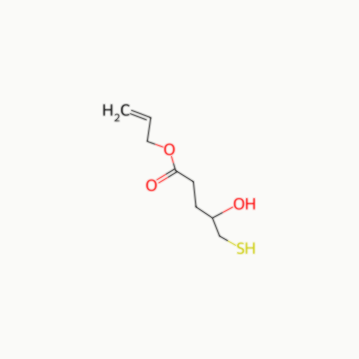 C=CCOC(=O)CCC(O)CS